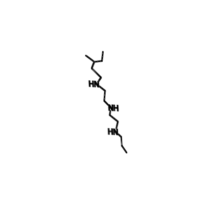 CCCNCCNCCNCCC(C)CC